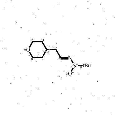 CC(C)(C)[S+]([O-])/N=C/CC1CCOCC1